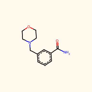 NC(=O)c1c[c]cc(CN2CCOCC2)c1